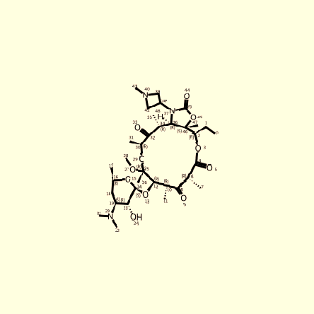 CC[C@H]1OC(=O)[C@H](C)C(=O)[C@H](C)[C@@H](O[C@@H]2O[C@H](C)C[C@H](N(C)C)[C@H]2O)[C@](C)(OC)C[C@@H](C)C(=O)[C@H](C)[C@H]2N(C3CN(C)C3)C(=O)O[C@]12C